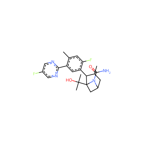 Cc1cc(F)c(C2C(C)CC3CC2(C(C)(C)O)N3C(N)=O)cc1-c1ncc(F)cn1